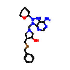 Nc1ncnc2c1NN(C1CCCCO1)N2CN1CC(O)C(CSCc2ccccc2)C1